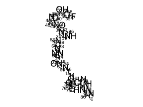 Cc1n[nH]c(Nc2ncnc3cc(OCCCN4CCN(C(=O)c5cnc(N6CCN(C[C@H]7CN[C@H](C)CN7CC(=O)N7CC(C)(C)c8ncc(C(O)c9ccc(F)cc9)cc87)C(C)C6)nc5)CC4)c(S(=O)(=O)C(C)(C)C)cc23)c1C